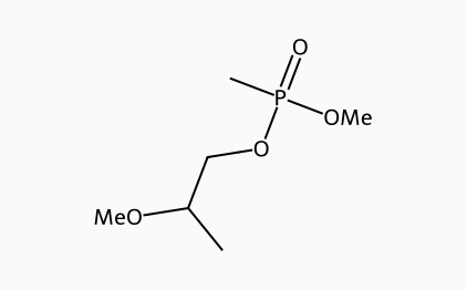 COC(C)COP(C)(=O)OC